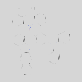 C[Si]1(C)c2ccccc2N2B3c4c(cc(N(c5ccccc5)c5ccccc5)cc4-n4c5cc6ccccc6cc5c5cccc3c54)-c3cccc1c32